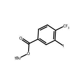 CC(C)(C)OC(=O)c1ccc(C(F)(F)F)c(I)c1